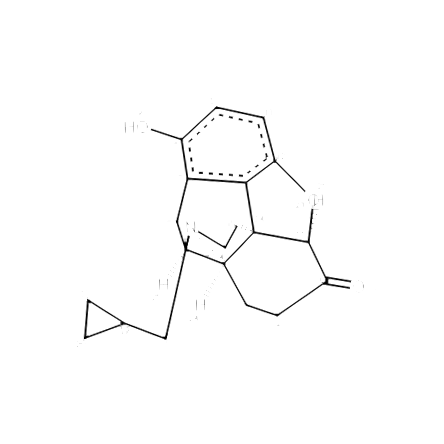 O=C1CC[C@H]2[C@H]3Cc4c(O)ccc5c4[C@@]2(CCN3CC2CC2)[C@H]1O5